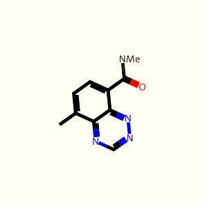 CNC(=O)c1ccc(C)c2ncnnc12